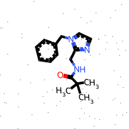 CC(C)(C)C(=O)NCc1nccn1Cc1ccccc1